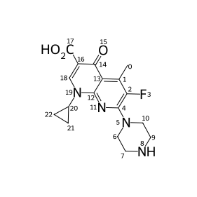 Cc1c(F)c(N2CCNCC2)nc2c1c(=O)c(C(=O)O)cn2C1CC1